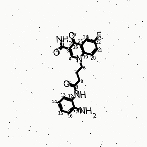 NC(=O)c1cn(CCCC(=O)Nc2ccccc2N)c2ccc(F)cc2c1=O